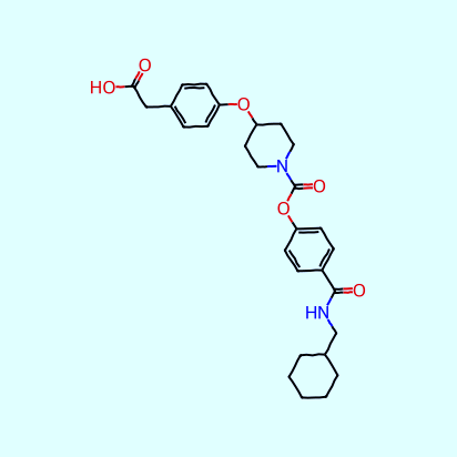 O=C(O)Cc1ccc(OC2CCN(C(=O)Oc3ccc(C(=O)NCC4CCCCC4)cc3)CC2)cc1